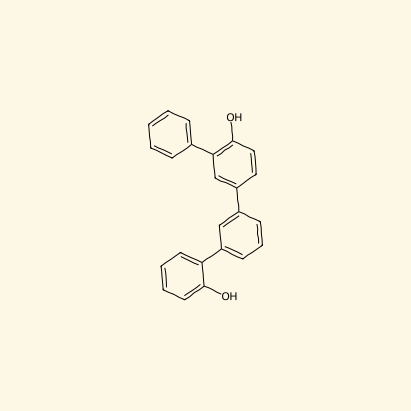 Oc1ccccc1-c1cccc(-c2ccc(O)c(-c3ccccc3)c2)c1